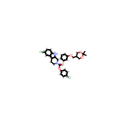 CC1(C)OCC(COc2ccc([C@H]3c4[nH]c5ccc(Cl)cc5c4CCN3C(=O)Oc3ccc(Cl)cc3)cc2)CO1